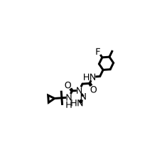 CC1CCC(CNC(=O)CN(N=N)C(=O)NC(C)(C)C2CC2)CC1F